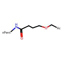 CCCCCNC(=O)CCCOCC(C)=O